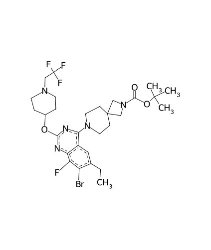 CCc1cc2c(N3CCC4(CC3)CN(C(=O)OC(C)(C)C)C4)nc(OC3CCN(CC(F)(F)F)CC3)nc2c(F)c1Br